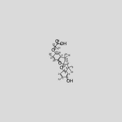 Cc1cc2c(cc1O)C(C)(C)CC1(CC(C)(C)c3cc(OC(C)(C)C(=O)O)c(C)cc3O1)O2